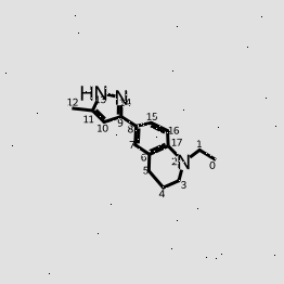 CCN1CCCc2cc(-c3cc(C)[nH]n3)ccc21